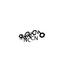 CC(N1CCN(C2CCN(Cc3ccccc3)CC2)C1=C(C#N)C#N)N1CCC[C@H]1C